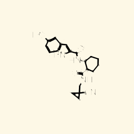 N#CC1(CNC(=O)[C@@H]2CCCC[C@@H]2NC(=O)c2cc3cc(O)ccc3[nH]2)CC1